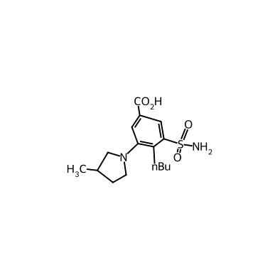 CCCCc1c(N2CCC(C)C2)cc(C(=O)O)cc1S(N)(=O)=O